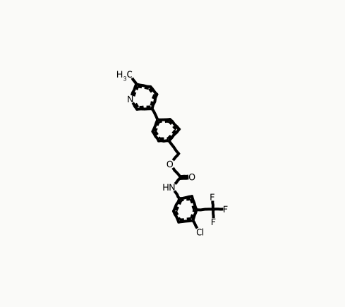 Cc1ccc(-c2ccc(COC(=O)Nc3ccc(Cl)c(C(F)(F)F)c3)cc2)cn1